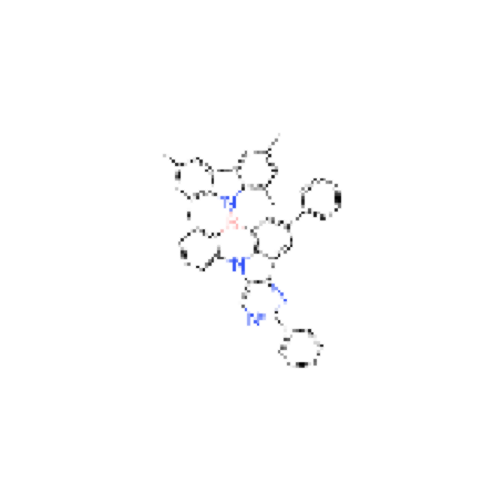 Cc1cc(C)c2c(c1)c1cc(C)cc(C)c1n2B1c2ccccc2-n2c3cnc(-c4ccccc4)nc3c3cc(-c4ccccc4)cc1c32